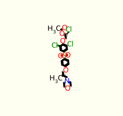 CC(=O)O[C@@H](CCl)COc1c(Cl)cc(S(=O)(=O)c2ccc(OC[C@H](C)CN3CCOCC3)cc2)cc1Cl